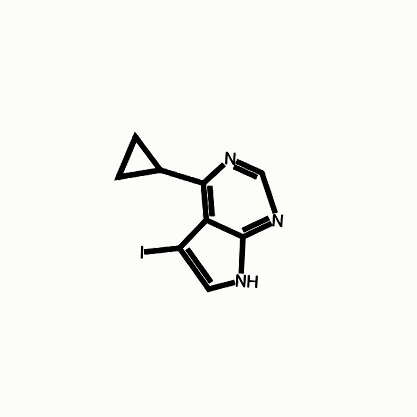 Ic1c[nH]c2ncnc(C3CC3)c12